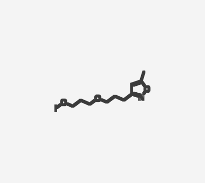 Cc1cc(CCCOCCCOI)no1